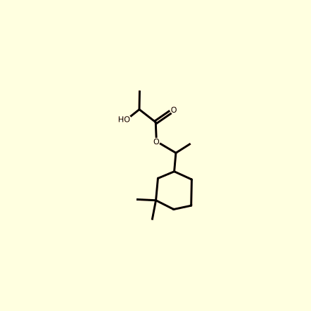 CC(O)C(=O)OC(C)C1CCCC(C)(C)C1